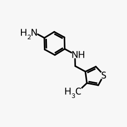 Cc1cscc1CNc1ccc(N)cc1